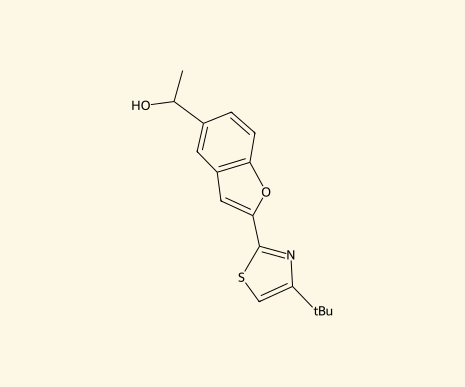 CC(O)c1ccc2oc(-c3nc(C(C)(C)C)cs3)cc2c1